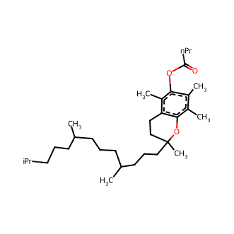 CCCC(=O)Oc1c(C)c(C)c2c(c1C)CCC(C)(CCCC(C)CCCC(C)CCCC(C)C)O2